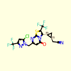 N#CC[C@@H]1C[C@H]1c1c(C(F)(F)F)sc2nc(Cn3nc(C(F)(F)F)cc3Cl)cc(=O)n12